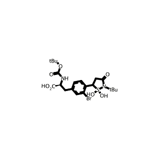 CC(C)(C)OC(=O)N[C@@H](Cc1ccc(C2CC(=O)N(C(C)(C)C)S2(O)O)c(Br)c1)C(=O)O